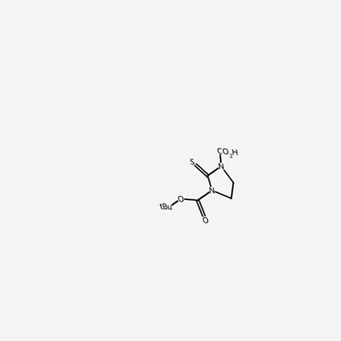 CC(C)(C)OC(=O)N1CCN(C(=O)O)C1=S